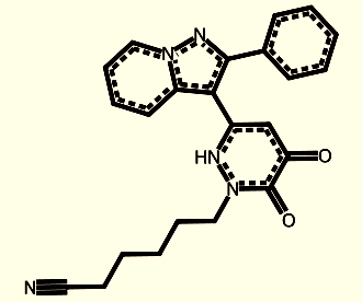 N#CCCCCCn1[nH]c(-c2c(-c3ccccc3)nn3ccccc23)cc(=O)c1=O